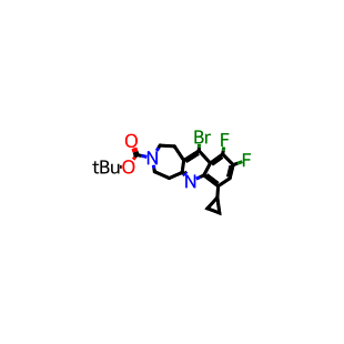 CC(C)(C)OC(=O)N1CCc2nc3c(C4CC4)cc(F)c(F)c3c(Br)c2CC1